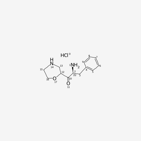 Cl.N[C@@H](Cc1ccccc1)C(=O)C1CNCCO1